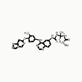 Cc1cc(Nc2ncnc3ccc(NC(=S)NC(C)(C)NC(=O)OC(C)(C)C)cc23)ccc1Oc1cc2nncn2cn1